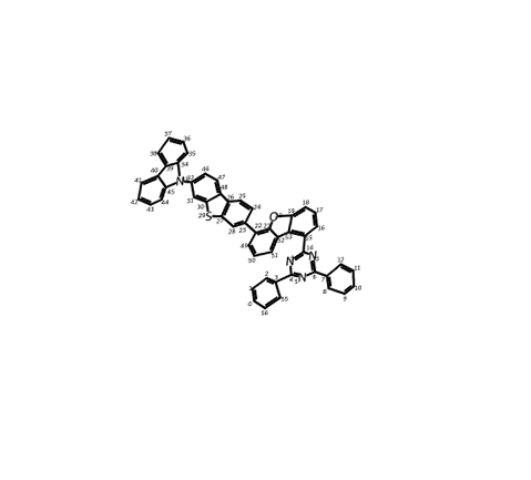 c1ccc(-c2nc(-c3ccccc3)nc(-c3cccc4oc5c(-c6ccc7c(c6)sc6cc(-n8c9ccccc9c9ccccc98)ccc67)cccc5c34)n2)cc1